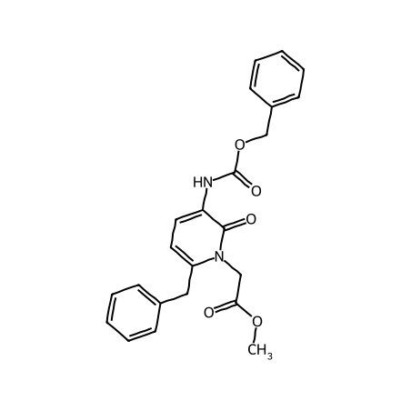 COC(=O)Cn1c(Cc2ccccc2)ccc(NC(=O)OCc2ccccc2)c1=O